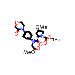 COC(=O)CN(C(=O)[C@H]1C[C@@H](OC)CN1C(=O)OC(C)(C)C)c1ccc(N2CCOCC2=O)cc1